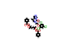 CC(C)(CCC(C)(C)OOC(=O)c1ccccc1)OOC(=O)c1ccccc1.CCCN(CCOc1c(Cl)cc(Cl)cc1Cl)C(=O)n1ccnc1